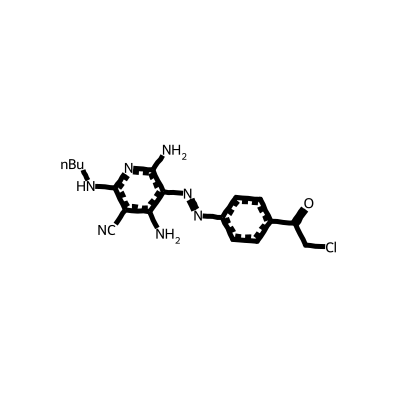 CCCCNc1nc(N)c(N=Nc2ccc(C(=O)CCl)cc2)c(N)c1C#N